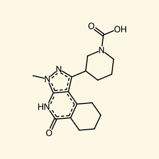 Cn1nc(C2CCCN(C(=O)O)C2)c2c3c(c(=O)[nH]c21)CCCC3